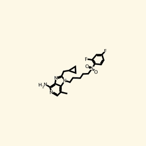 Cc1cnc(N)c2nc(CC3CC3)n(CCCCCS(=O)(=O)c3ccc(F)cc3F)c12